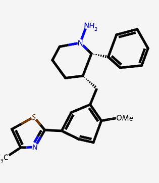 COc1ccc(-c2nc(C)cs2)cc1C[C@@H]1CCCN(N)[C@@H]1c1ccccc1